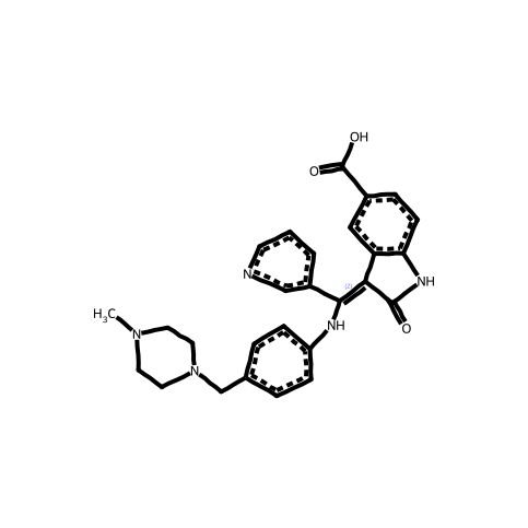 CN1CCN(Cc2ccc(N/C(=C3\C(=O)Nc4ccc(C(=O)O)cc43)c3cccnc3)cc2)CC1